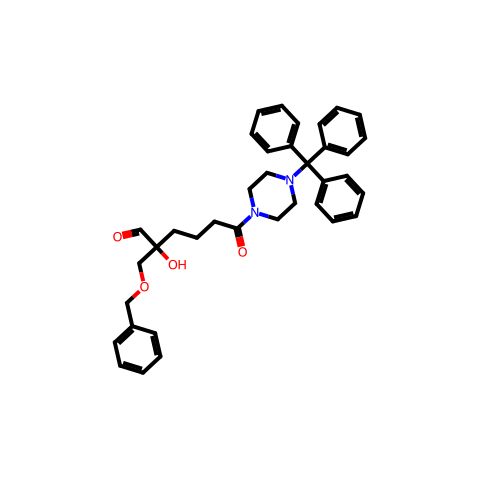 O=CC(O)(CCCC(=O)N1CCN(C(c2ccccc2)(c2ccccc2)c2ccccc2)CC1)COCc1ccccc1